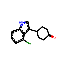 O=C1CCC(c2c[nH]c3cccc(F)c23)CC1